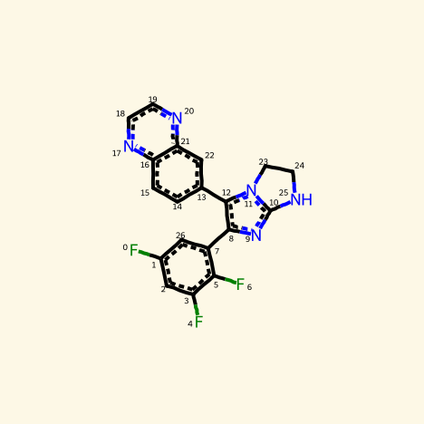 Fc1cc(F)c(F)c(-c2nc3n(c2-c2ccc4nccnc4c2)CCN3)c1